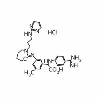 Cc1cc(N=C2CCCCCN2CCCNc2ncccn2)cc(C(Nc2ccc(C(=N)N)cc2)C(=O)O)c1.Cl